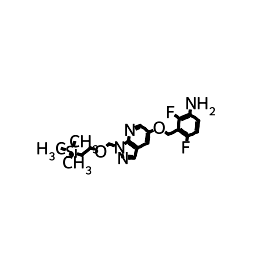 C[Si](C)(C)CCOCn1ncc2cc(OCc3c(F)ccc(N)c3F)cnc21